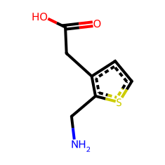 NCc1sccc1CC(=O)O